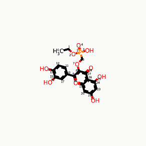 CCOP(=O)(O)COc1c(-c2ccc(O)c(O)c2)oc2cc(O)cc(O)c2c1=O